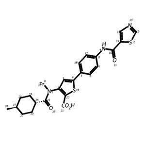 CC(C)N(c1cc(-c2ccc(NC(=O)c3cncs3)cc2)sc1C(=O)O)C(=O)[C@H]1CC[C@H](C)CC1